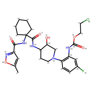 Cc1cc(C(=O)NC2(C(=O)NC3CCN(c4ccc(F)cc4NC(=O)OCCCl)CC3O)CCCCC2)no1